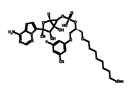 CCCCCCCCCCCCCCCCCCOC[C@H](COc1cc(F)cc(C#N)c1)OP(=O)(O)OC1[C@H]2O[C@@](C#N)(c3ccc4c(N)ncnn34)[C@H](O)[C@@]12O